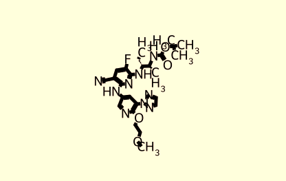 CC[C@@H](Nc1nc(Nc2cnc(OCCOC)c(-n3nccn3)c2)c(C#N)cc1F)[C@H](C)NC(=O)OC(C)(C)C